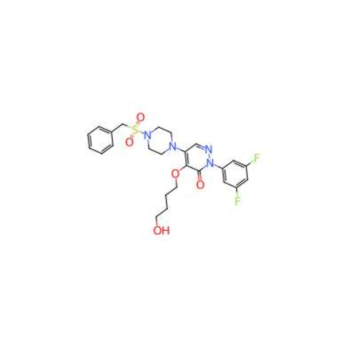 O=c1c(OCCCCO)c(N2CCN(S(=O)(=O)Cc3ccccc3)CC2)cnn1-c1cc(F)cc(F)c1